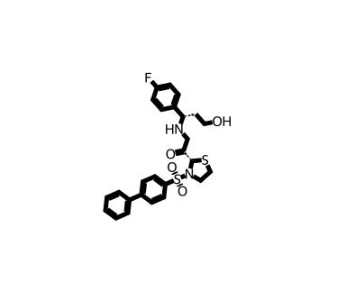 O=C(CN[C@@H](CCO)c1ccc(F)cc1)[C@@H]1SCCN1S(=O)(=O)c1ccc(-c2ccccc2)cc1